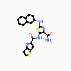 NC(=O)c1nc(Nc2ccc3ccccc3c2)sc1NC(=O)c1cc2sccc2[nH]1